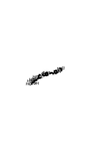 O=C(Cc1ccc(OCCCC2CCN(c3ncc(Cl)cn3)CC2)cc1F)N1CCC(O)(CNC[C@H](O)[C@H](O)[C@H](O)CO)CC1